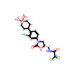 O=C(NC[C@H]1CN(c2ccc(C3CCS(O)(O)CC3)c(F)c2)C(=O)O1)C(Cl)Cl